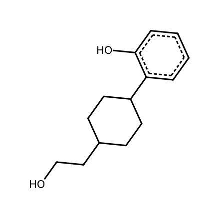 OCCC1CCC(c2ccccc2O)CC1